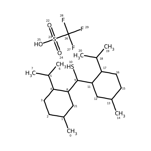 CC1CCC(C(C)C)C(C(S)C2CC(C)CCC2C(C)C)C1.O=S(=O)(O)C(F)(F)F